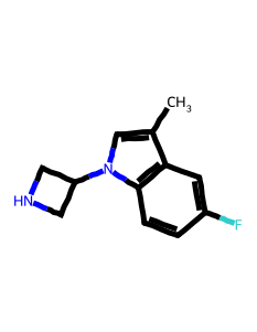 Cc1cn(C2CNC2)c2ccc(F)cc12